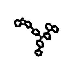 c1ccc(-c2ccc(N(c3ccc(-c4ccc5oc6ccccc6c5c4)cc3)c3cccc(-c4cccc5ccccc45)c3)cc2)cc1